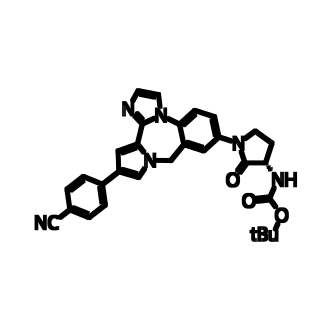 CC(C)(C)OC(=O)N[C@H]1CCN(c2ccc3c(c2)Cn2cc(-c4ccc(C#N)cc4)cc2-c2nccn2-3)C1=O